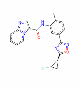 Cc1ccc(-c2noc([C@H]3CC3F)n2)cc1NC(=O)c1cnc2ccccn12